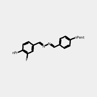 CCCCCc1ccc(C=NN=Cc2ccc(CCC)c(F)c2)cc1